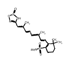 CNS(=O)(=O)C1=C(/C=C/C(C)=C/C=C/C(C)=C/C2=NOS(=O)N2)C(C)(C)CCC1